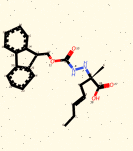 CCC=CC[C@](C)(NNC(=O)OCC1c2ccccc2-c2ccccc21)C(=O)O